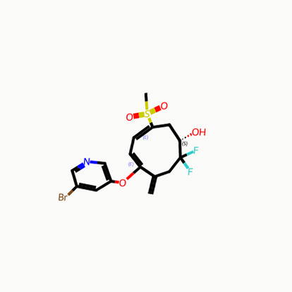 C=C1CC(F)(F)[C@@H](O)C/C(S(C)(=O)=O)=C\C=C/1Oc1cncc(Br)c1